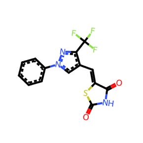 O=C1NC(=O)C(=Cc2cn(-c3ccccc3)nc2C(F)(F)F)S1